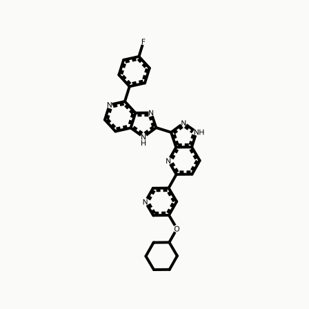 Fc1ccc(-c2nccc3[nH]c(-c4n[nH]c5ccc(-c6cncc(OC7CCCCC7)c6)nc45)nc23)cc1